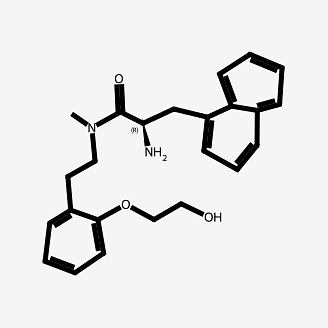 CN(CCc1ccccc1OCCO)C(=O)[C@H](N)Cc1cccc2ccccc12